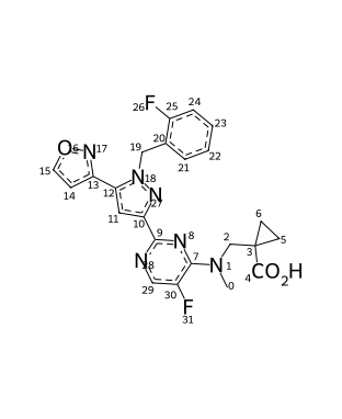 CN(CC1(C(=O)O)CC1)c1nc(-c2cc(-c3ccon3)n(Cc3ccccc3F)n2)ncc1F